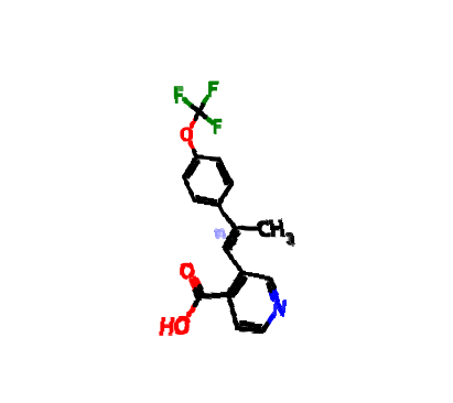 C/C(=C\c1cnccc1C(=O)O)c1ccc(OC(F)(F)F)cc1